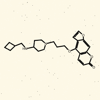 O=c1ccc2c(OCCCN3CCC(NCC4CCC4)CC3)c3ccoc3cc2o1